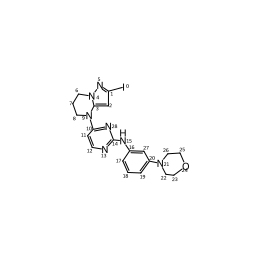 Ic1cc2n(n1)CCCN2c1ccnc(Nc2cccc(N3CCOCC3)c2)n1